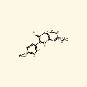 CC(=O)Oc1ccc(C2Oc3cc(OC(C)=O)ccc3CC2=O)cc1